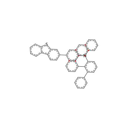 c1ccc(-c2ccccc2-c2c(-c3ccccc3)cccc2N(c2ccccc2)c2ccc(-c3ccc4c(c3)sc3ccccc34)cc2)cc1